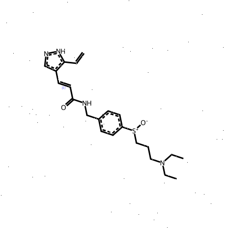 C=Cc1[nH]ncc1/C=C/C(=O)NCc1ccc([S+]([O-])CCCN(CC)CC)cc1